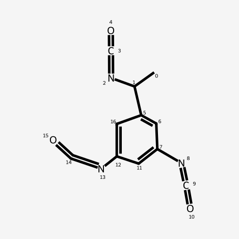 CC(N=C=O)c1cc(N=C=O)cc(N=C=O)c1